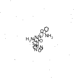 Nc1nc(N2CCC3(CC2)Oc2ccccc2C3N)c(=O)[nH]c1Sc1ccnc(-c2ncco2)n1